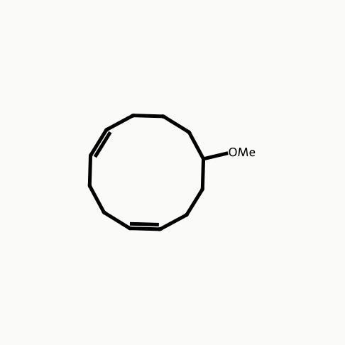 COC1CCC=CCCC=CCCC1